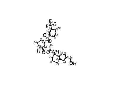 Cc1ccc(S(=O)(=O)N2CCNC(=O)[C@H]2CC(=O)N[C@@H]2CCCc3cc(CO)ccc32)cc1C(F)(F)F